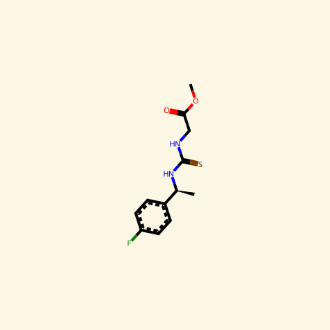 COC(=O)CNC(=S)N[C@@H](C)c1ccc(F)cc1